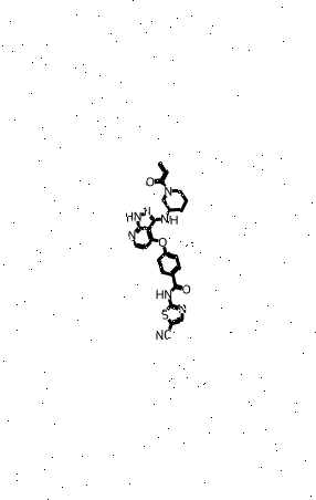 C=CC(=O)N1CCC[C@@H](Nc2n[nH]c3nccc(Oc4ccc(C(=O)Nc5ncc(C#N)s5)cc4)c23)C1